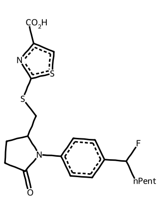 CCCCCC(F)c1ccc(N2C(=O)CCC2CSc2nc(C(=O)O)cs2)cc1